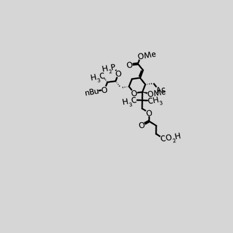 CCCCO[C@H](C)[C@@H](C[C@@H]1C/C(=C\C(=O)OC)[C@H](CC(C)=O)[C@](OC)(C(C)(C)COC(=O)CCC(=O)O)O1)OP